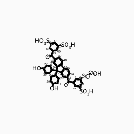 O=C(c1cc(SOOO)cc(S(=O)(=O)O)c1)c1ccc2c(c1)C(c1ccc(O)cc1)(c1ccc(O)cc1)c1cc(C(=O)c3cc(S(=O)(=O)O)cc(S(=O)(=O)O)c3)ccc1-2